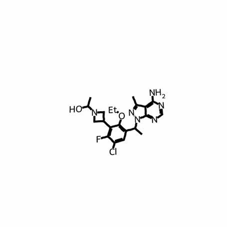 CCOc1c(C(C)n2nc(C)c3c(N)ncnc32)cc(Cl)c(F)c1C1CN(C(C)O)C1